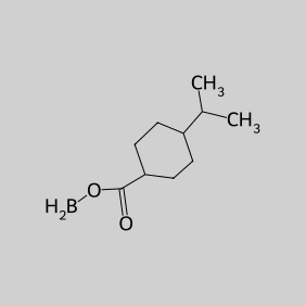 BOC(=O)C1CCC(C(C)C)CC1